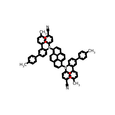 Cc1ccc(-c2ccc(N(C3=C4C=CC5=C6C(=CC=C(C=C3)C46)C(N(c3ccc(C#N)cc3)c3ccc(-c4ccc(C)cc4)cc3-c3ccc(C)cc3)C=C5)c3ccc(C#N)cc3)c(-c3ccc(C)cc3)c2)cc1